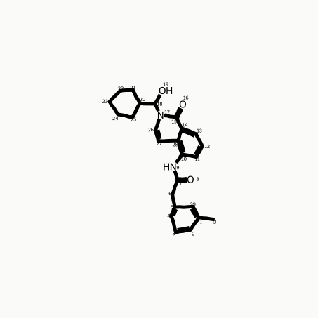 Cc1cccc(CC(=O)Nc2cccc3c(=O)n(C(O)C4CCCCC4)ccc23)c1